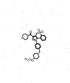 COC1CCN(Cc2ccc(-n3nc(C(=O)N4CCOCC4)c4c3-c3ccccc3S(=O)(=O)C4)cc2)CC1